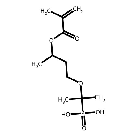 C=C(C)C(=O)OC(C)CCOC(C)(C)P(=O)(O)O